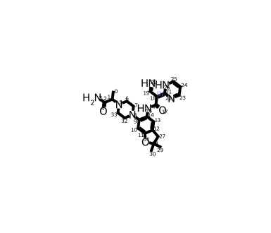 CC(C(N)=O)N1CCN(c2cc3c(cc2NC(=O)/C(C=N)=C2\N=CC=CN2)CC(C)(C)O3)CC1